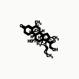 COCO[C@]1(C(=O)CO)[C@@H](C)C[C@H]2[C@@H]3C[C@H](C)C4=CC(=O)CC[C@]4(C)[C@H]3[C@@H](O)C[C@@]21C